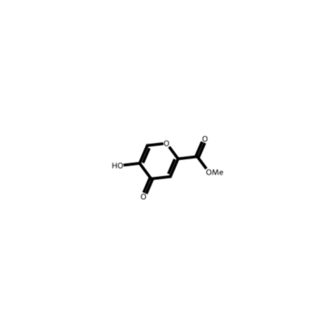 COC(=O)c1cc(=O)c(O)co1